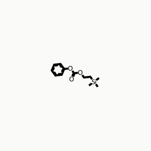 C[Si](C)(C)CCOC(=O)Oc1ccccc1